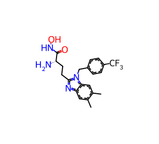 Cc1cc2nc(CC[C@H](N)C(=O)NO)n(Cc3ccc(C(F)(F)F)cc3)c2cc1C